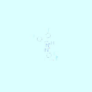 O=C(Nc1cc(F)c2c(c1)C(F)(F)C(F)(F)O2)N1CC(c2ccc(F)cc2)=C(c2ccc(F)cc2)N1